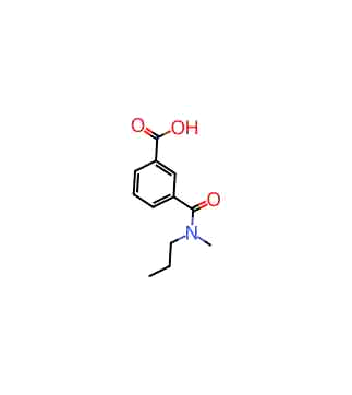 CCCN(C)C(=O)c1cccc(C(=O)O)c1